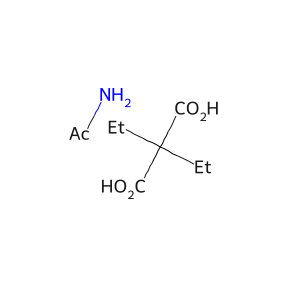 CC(N)=O.CCC(CC)(C(=O)O)C(=O)O